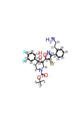 CC(C)(C)OC(=O)N1CC[C@](O)(c2ccc(F)c(F)c2)[C@@H](c2onc(-c3ccccc3CCN)c2Br)C1